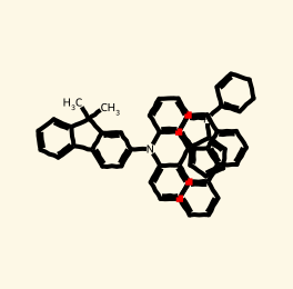 CC1(C)c2ccccc2-c2ccc(N(c3ccccc3-c3cccc4cccc(-c5ccccc5)c34)c3cccc4c3c3ccccc3n4C3=CCCC=C3)cc21